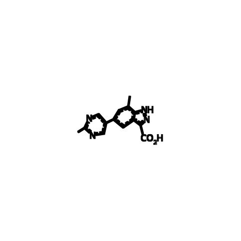 Cc1ncc(-c2cc(C)c3[nH]nc(C(=O)O)c3c2)cn1